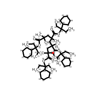 CCC(C)(CC(C)(CC(C)(CC(C)(C)C(=O)OC(CC)(CC)C1CCCCC1)C(=O)OC(CC)(CC)C1CCCCC1)C(=O)OC(CC)(CC)C1CCCCC1)C(=O)OC(CC)(CC)C1CCCCC1